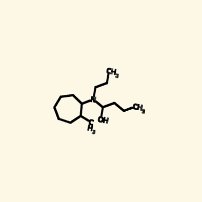 CCCC(O)N(CCC)C1CCCCCC1C